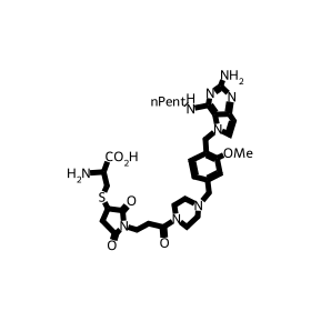 CCCCCNc1nc(N)nc2ccn(Cc3ccc(CN4CCN(C(=O)CCN5C(=O)CC(SCC(N)C(=O)O)C5=O)CC4)cc3OC)c12